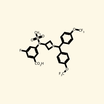 CS(=O)(=O)N(c1cc(F)cc(C(=O)O)c1)C1CN(C(c2ccc(OC(F)(F)F)cc2)c2ccc(OC(F)(F)F)cc2)C1